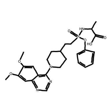 COc1cc2ncnc(N3CCC(CCP(=O)(NC(C)C(=O)O)Oc4ccccc4)CC3)c2cc1OC